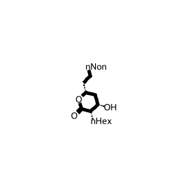 CCCCCCCCCCC[C@@H]1C[C@H](O)[C@H](CCCCCC)C(=O)O1